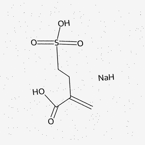 C=C(CCS(=O)(=O)O)C(=O)O.[NaH]